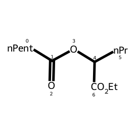 CCCCCC(=O)OC(CCC)C(=O)OCC